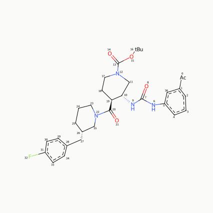 CC(=O)c1cccc(NC(=O)N[C@H]2CN(C(=O)OC(C)(C)C)CC[C@@H]2C(=O)N2CCC[C@@H](Cc3ccc(F)cc3)C2)c1